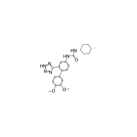 COc1ccc(-c2ccc(NC(=O)N[C@H]3CC[C@@H](C)CC3)cc2-c2nn[nH]n2)cc1OC